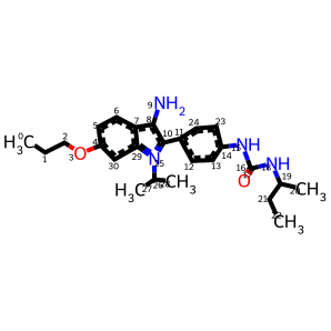 CCCOc1ccc2c(N)c(-c3ccc(NC(=O)NC(C)CC)cc3)n(C(C)C)c2c1